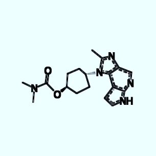 Cc1nc2cnc3[nH]ccc3c2n1[C@H]1CC[C@H](OC(=O)N(C)C)CC1